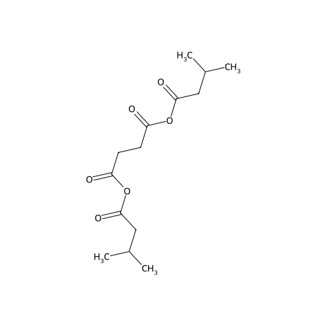 CC(C)CC(=O)OC(=O)CCC(=O)OC(=O)CC(C)C